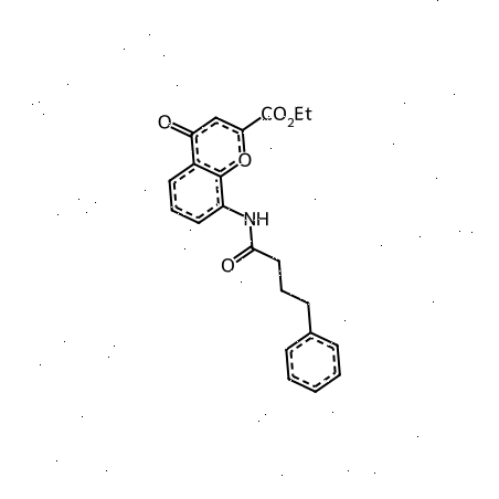 CCOC(=O)c1cc(=O)c2cccc(NC(=O)CCCc3ccccc3)c2o1